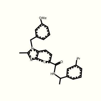 COc1cccc(Cn2c(C)nc3cc(C(=O)NC(C)c4cccc(C(C)C)c4)ccc32)c1